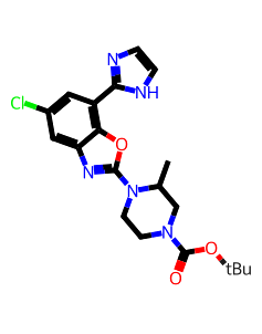 CC1CN(C(=O)OC(C)(C)C)CCN1c1nc2cc(Cl)cc(-c3ncc[nH]3)c2o1